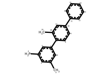 Cc1cc(P)cc(-c2ccc(-c3ccccc3)cc2C)c1